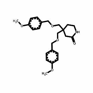 COc1ccc(COCC2(COCc3ccc(OC)cc3)CCNC(=O)C2)cc1